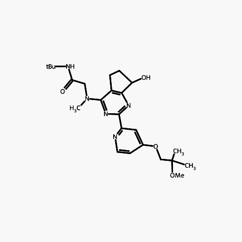 COC(C)(C)COc1ccnc(-c2nc3c(c(N(C)CC(=O)NC(C)(C)C)n2)CCC3O)c1